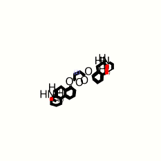 O=C(/C=C\C(=O)Oc1cccc2c1C[C@H]1NCC[C@@]23CCCC[C@@H]13)Oc1cccc2c1C[C@H]1NCC[C@@]23CCCC[C@@H]13